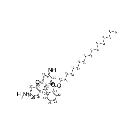 CCCCCCCCCCCCCCCCCCOC(=O)c1ccccc1-c1c2ccc(=N)cc-2oc2cc(N)ccc12